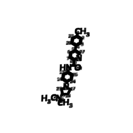 Cc1ccc(-c2ccc(C(=O)Nc3ccc(N4CCC(N(C)C)C4)cc3)nc2)cc1